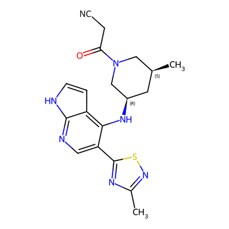 Cc1nsc(-c2cnc3[nH]ccc3c2N[C@@H]2C[C@H](C)CN(C(=O)CC#N)C2)n1